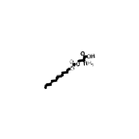 CCCCCCCCCCOC(=O)OCC(N)C(=O)O